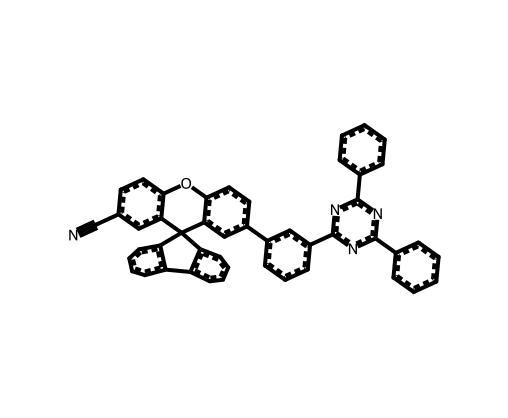 N#Cc1ccc2c(c1)C1(c3cc(-c4cccc(-c5nc(-c6ccccc6)nc(-c6ccccc6)n5)c4)ccc3O2)c2ccccc2-c2ccccc21